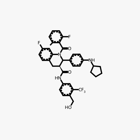 Cc1cccc(F)c1C(=O)N1c2cc(F)ccc2C[C@H](C(=O)Nc2ccc(CO)c(C(F)(F)F)c2)C1c1ccc(NC2CCCC2)cc1